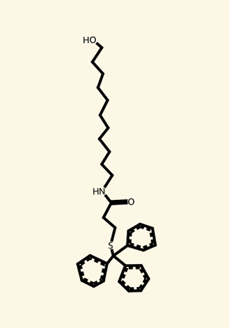 O=C(CCSC(c1ccccc1)(c1ccccc1)c1ccccc1)NCCCCCCCCCCCO